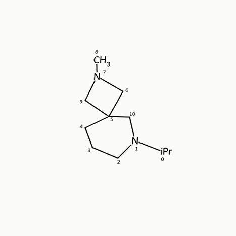 CC(C)N1CCCC2(CN(C)C2)C1